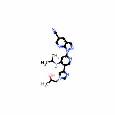 CC(O)Cn1cnc(-c2cnc(-n3ncc4cc(C#N)cnc43)cc2NC(C)C)c1